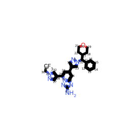 Nc1nc2cc(-c3cnn(C(c4ccccc4)C4CCOCC4)c3)cc(-c3cnn(CC(F)(F)F)c3)n2n1